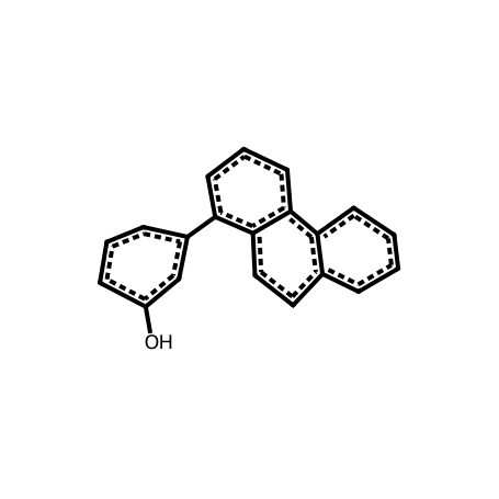 Oc1cccc(-c2cccc3c2ccc2ccccc23)c1